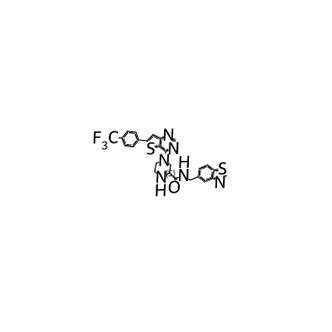 O=C(NCc1ccc2scnc2c1)[C@@H]1CN(c2ncnc3cc(-c4ccc(C(F)(F)F)cc4)sc23)CCN1